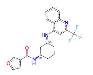 O=C(N[C@@H]1CCC[C@H](Nc2cc(C(F)(F)F)nc3ccccc23)C1)c1ccoc1